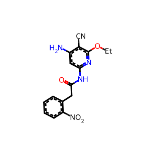 CCOc1nc(NC(=O)Cc2ccccc2[N+](=O)[O-])cc(N)c1C#N